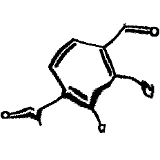 O=[C]c1ccc([C]=O)c(Cl)c1Cl